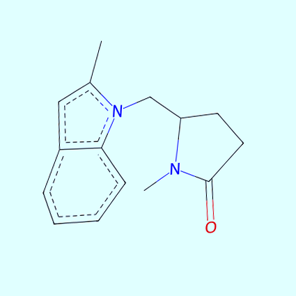 Cc1cc2ccccc2n1CC1CCC(=O)N1C